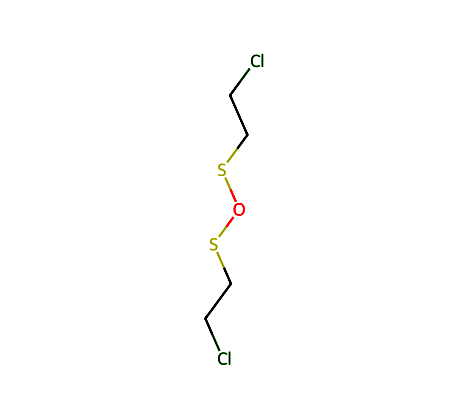 ClCCSOSCCCl